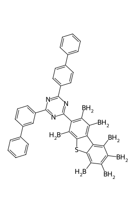 Bc1c(B)c(B)c2c(sc3c(B)c(-c4nc(-c5ccc(-c6ccccc6)cc5)nc(-c5cccc(-c6ccccc6)c5)n4)c(B)c(B)c32)c1B